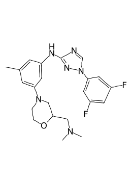 Cc1cc(Nc2ncn(-c3cc(F)cc(F)c3)n2)cc(N2CCOC(CN(C)C)C2)c1